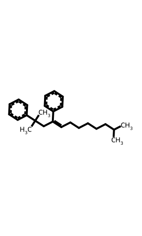 CC(C)CCCCCC=C(CC(C)(C)c1ccccc1)c1ccccc1